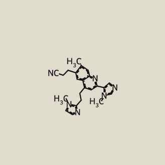 Cc1cc2nc(-c3cncn3C)cc(CCc3nccn3C)c2cc1CCC#N